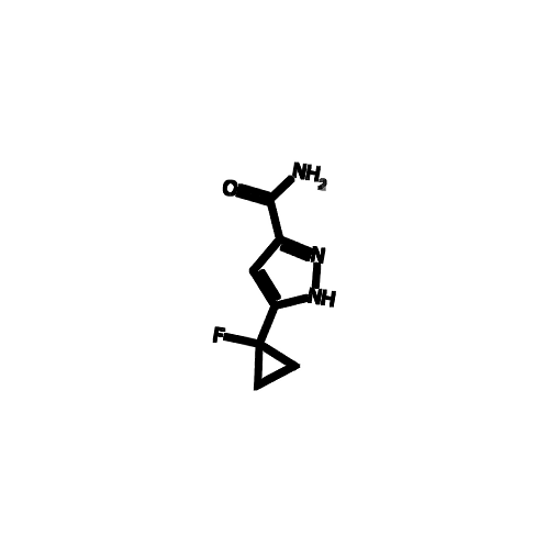 NC(=O)c1cc(C2(F)CC2)[nH]n1